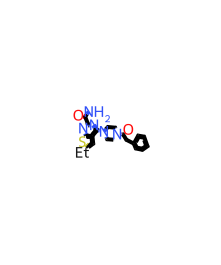 CCc1cc2c(N3CCN(C(=O)Cc4ccccc4)CC3)nc(C(N)=O)nc2s1